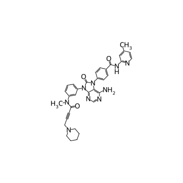 Cc1ccnc(NC(=O)c2ccc(-n3c(=O)n(-c4cccc(N(C)C(=O)C#CCN5CCCCC5)c4)c4ncnc(N)c43)cc2)c1